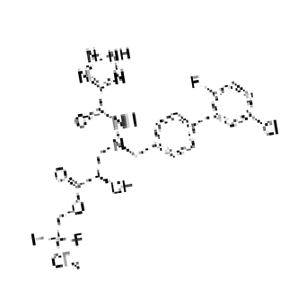 O=C(NN(Cc1ccc(-c2cc(Cl)ccc2F)cc1)C[C@@H](O)C(=O)OCC(F)(F)C(F)(F)F)c1nn[nH]n1